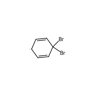 BrC1(Br)C=C[CH]C=C1